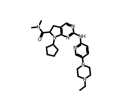 CCN1CCN(c2ccc(Nc3ncc4c(n3)N(C3CCCC3)C(C(=O)N(C)C)C4)nc2)CC1